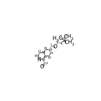 C[Si](C)(C)CCOCc1ccc2c(C=O)nccc2c1